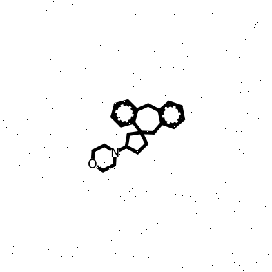 c1ccc2c(c1)Cc1ccccc1C1(CCC(N3CCOCC3)C1)C2